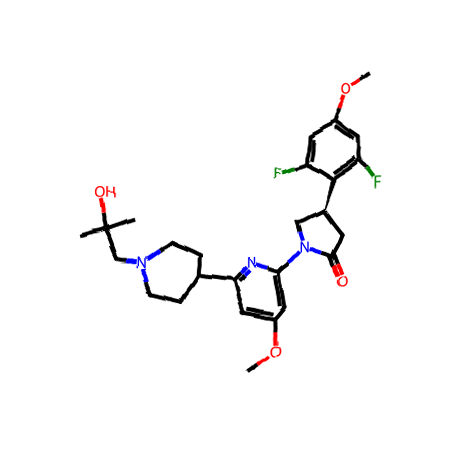 COc1cc(C2CCN(CC(C)(C)O)CC2)nc(N2C[C@@H](c3c(F)cc(OC)cc3F)CC2=O)c1